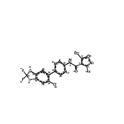 CCc1noc(CC)c1C(=O)Nc1cnc(-c2cc3c(cc2Cl)OC(F)(F)O3)cn1